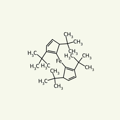 CC(C)(C)C1=[C]([Fe][C]2=C(C(C)(C)C)C=CC2C(C)(C)C)C(C(C)(C)C)C=C1